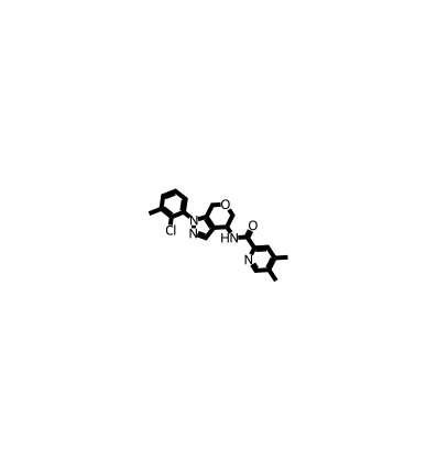 Cc1cnc(C(=O)NC2COCc3c2cnn3-c2cccc(C)c2Cl)cc1C